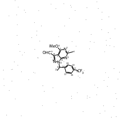 COc1nc(C)nc2c1c(C=O)nn2C(C)c1ccc(C(F)(F)F)cc1